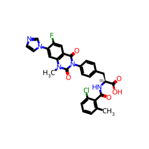 Cc1cccc(Cl)c1C(=O)N[C@@H](Cc1ccc(-n2c(=O)c3cc(F)c(-n4ccnc4)cc3n(C)c2=O)cc1)C(=O)O